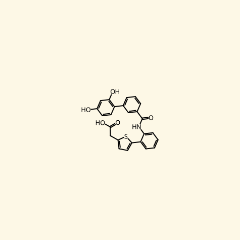 O=C(O)Cc1ccc(-c2ccccc2NC(=O)c2cccc(-c3ccc(O)cc3O)c2)s1